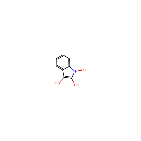 Oc1c(O)n(O)c2ccccc12